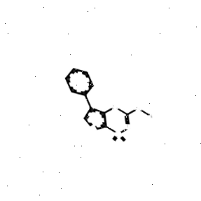 CC(C)NC1=NS(=O)(=O)c2scc(-c3ccccc3)c2N1